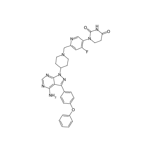 Nc1ncnc2c1c(-c1ccc(Oc3ccccc3)cc1)nn2C1CCN(Cc2cc(F)c(N3CCC(=O)NC3=O)cn2)CC1